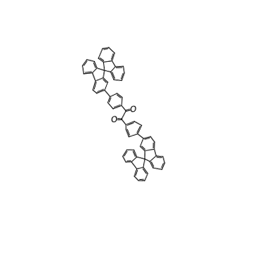 O=C(C(=O)c1ccc(-c2ccc3c(c2)C2(c4ccccc4-c4ccccc42)c2ccccc2-3)cc1)c1ccc(-c2ccc3c(c2)C2(c4ccccc4-c4ccccc42)c2ccccc2-3)cc1